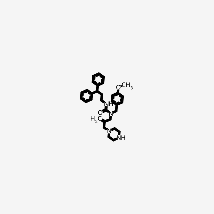 C=C(CN1CCNCC1)CN(Cc1ccc(OC)cc1)C(=O)NCCC(c1ccccc1)c1ccccc1